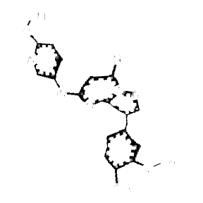 COc1ccc(Nc2cc(N)n3ncc(-c4ccc(O)c(OC)c4)c3n2)cn1